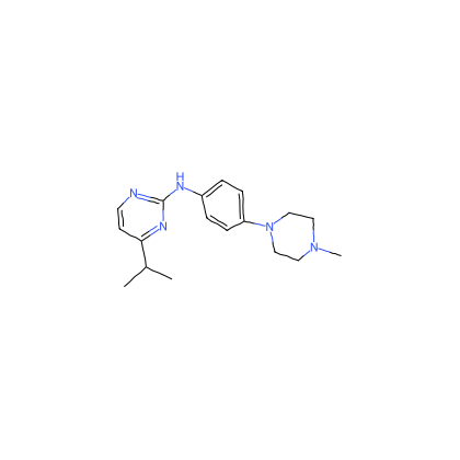 CC(C)c1ccnc(Nc2ccc(N3CCN(C)CC3)cc2)n1